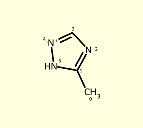 CC1=NC=[N+]N1